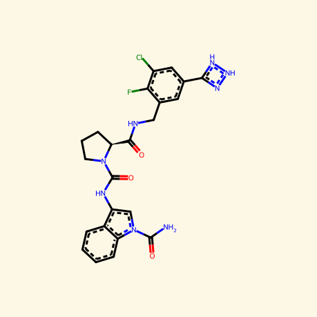 NC(=O)n1cc(NC(=O)N2CCC[C@H]2C(=O)NCc2cc(-c3n[nH][nH]3)cc(Cl)c2F)c2ccccc21